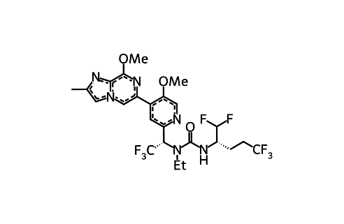 CCN(C(=O)N[C@@H](CCC(F)(F)F)C(F)F)[C@@H](c1cc(-c2cn3cc(C)nc3c(OC)n2)c(OC)cn1)C(F)(F)F